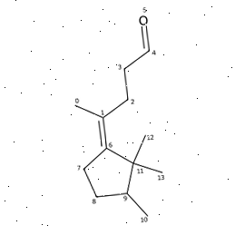 CC(CCC=O)=C1CCC(C)C1(C)C